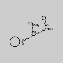 CCCCCCC(CSCCCCCC(CCCCCOC(=O)C1CCCCCCCCCCCCCC1)OC(=O)CCCN(C)C)OC(=O)CCC1CCCCC1